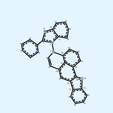 C1=CN(n2c(-c3ccccc3)nc3ccccc32)c2cccc3c2c1cc1c2ccccc2oc31